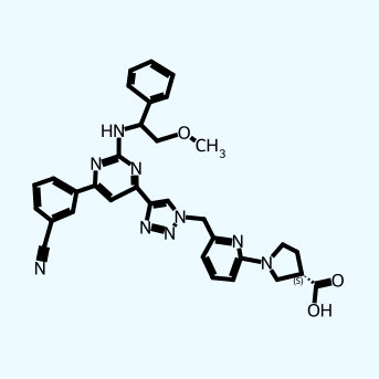 COCC(Nc1nc(-c2cccc(C#N)c2)cc(-c2cn(Cc3cccc(N4CC[C@H](C(=O)O)C4)n3)nn2)n1)c1ccccc1